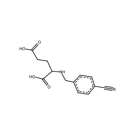 N#Cc1ccc(CNC(CCC(=O)O)C(=O)O)cc1